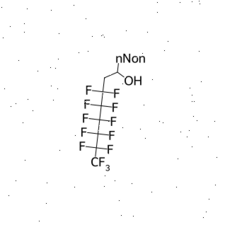 CCCCCCCCCC(O)CC(F)(F)C(F)(F)C(F)(F)C(F)(F)C(F)(F)C(F)(F)F